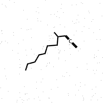 C=C=CC(C)CCCCCCC